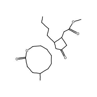 CC1CCCCCCOC(=O)CC1.CCCCC1CC(=O)CC1CC(=O)OC